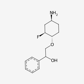 N[C@H]1CC[C@H](OCC(O)c2ccccc2)[C@@H](F)C1